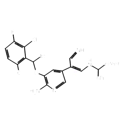 CCCCCC(CCC)N/C=C(\C=N)c1cnc(N)c(OC(CC)c2c(Cl)ccc(F)c2Cl)c1